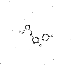 CN1CC[C@H]1COc1cnc(Cl)c(-c2ccc(Cl)cc2)c1